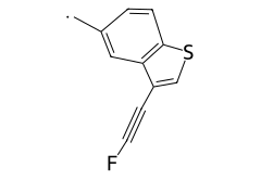 [CH2]c1ccc2scc(C#CF)c2c1